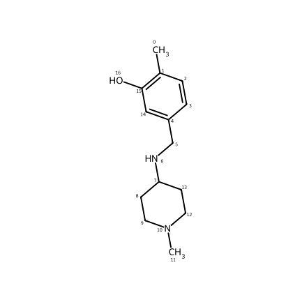 Cc1ccc(CNC2CCN(C)CC2)cc1O